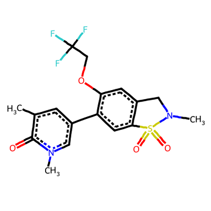 Cc1cc(-c2cc3c(cc2OCC(F)(F)F)CN(C)S3(=O)=O)cn(C)c1=O